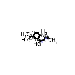 C/C=C\C=C(\O)c1cc(C(C)C)ccc1N